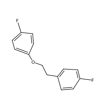 Fc1ccc(CCOc2ccc(F)cc2)cc1